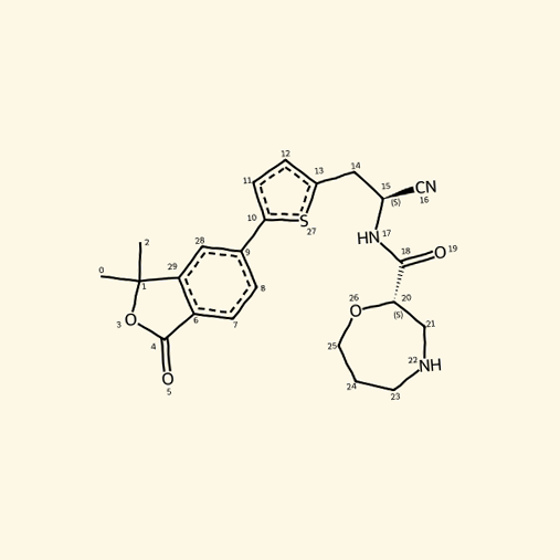 CC1(C)OC(=O)c2ccc(-c3ccc(C[C@@H](C#N)NC(=O)[C@@H]4CNCCCO4)s3)cc21